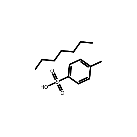 CCCCCCC.Cc1ccc(S(=O)(=O)O)cc1